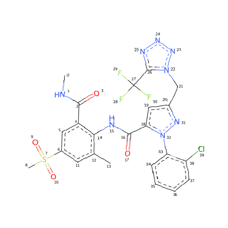 CNC(=O)c1cc(S(C)(=O)=O)cc(C)c1NC(=O)c1cc(Cn2nnnc2C(F)(F)F)nn1-c1ccccc1Cl